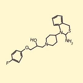 NC1SCc2ccccc2N1C1CCN(CC(O)COc2ccc(F)cc2)CC1